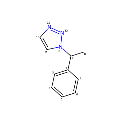 CC(c1ccccc1)n1ccnn1